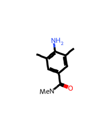 CNC(=O)c1cc(C)c(N)c(C)c1